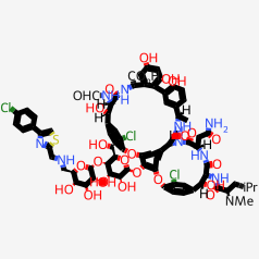 CN[C@H](CC(C)C)C(=O)NC1C(=O)N[C@@H](CC(N)=O)C(=O)N[C@H]2C(=O)N[C@@H](C)c3ccc(O)c(c3)-c3c(O)cc(O)cc3C(C(=O)O)NC(=O)[C@@H](NC=O)[C@H](O)c3ccc(c(Cl)c3)Oc3cc2cc(c3O[C@@H]2O[C@H](CO)[C@@H](O[C@@H]3O[C@H](CNCc4nc(-c5ccc(Cl)cc5)cs4)[C@H](O)[C@H](O)[C@H]3O)[C@H](O)[C@H]2O)Oc2ccc(cc2Cl)[C@H]1O